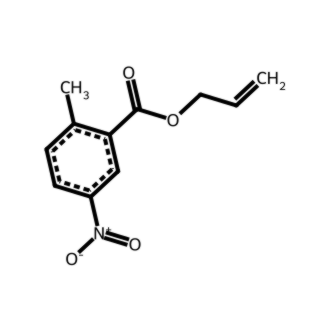 C=CCOC(=O)c1cc([N+](=O)[O-])ccc1C